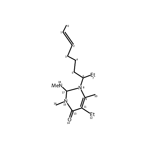 CC=CCCCC(CC)N1C(C)=C(CC)C(=O)N(C)C1NC